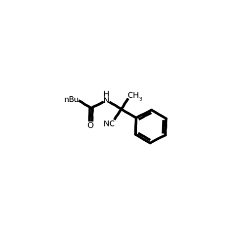 CCCCC(=O)NC(C)(C#N)c1ccccc1